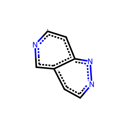 [c]1cc2nnccc2cn1